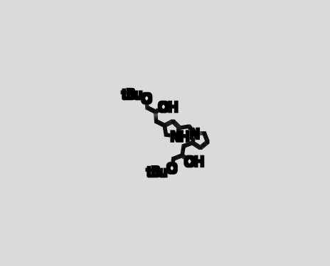 CC(C)(C)OCC(O)CC1CNC(CN2CCCC2CC(O)COC(C)(C)C)C1